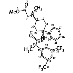 COC(=O)CN(C)[C@H]1CC[C@](NC(=O)C(C)c2cc(C(F)(F)F)cc(C(F)(F)F)c2)(c2ccccc2)CC1